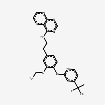 CCOc1cc(CCNc2ncnc3nccnc23)ccc1Oc1cc(C(C)(F)F)ccn1